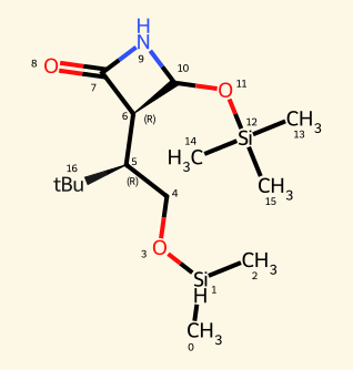 C[SiH](C)OC[C@H]([C@H]1C(=O)NC1O[Si](C)(C)C)C(C)(C)C